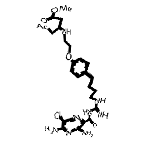 COC(=O)CC(CC(C)=O)NCCOc1ccc(CCCCNC(=N)NC(=O)c2nc(Cl)c(N)nc2N)cc1